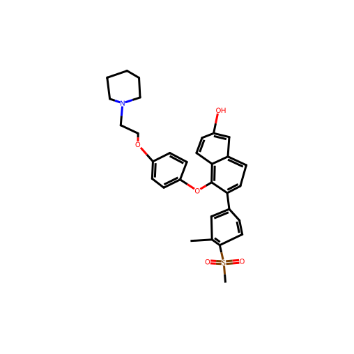 Cc1cc(-c2ccc3cc(O)ccc3c2Oc2ccc(OCCN3CCCCC3)cc2)ccc1S(C)(=O)=O